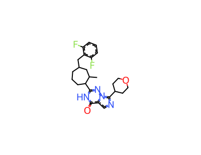 CC1CC(Cc2c(F)cccc2F)CCCC1c1nn2c(C3CCOCC3)ncc2c(=O)[nH]1